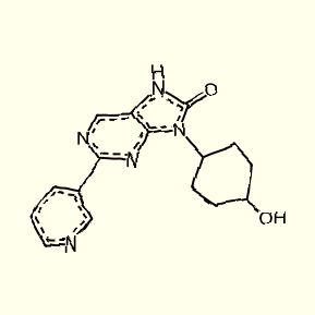 O=c1[nH]c2cnc(-c3cccnc3)nc2n1C1CCC(O)CC1